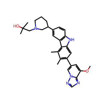 COc1cc(-c2cc3[nH]c4ccc(C5CCCN(CC(C)(C)O)C5)cc4c3c(C)c2C)cn2ncnc12